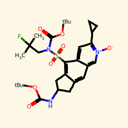 CC(C)(F)CN(C(=O)OC(C)(C)C)S(=O)(=O)c1c2c(cc3c[n+]([O-])c(C4CC4)cc13)CC(NC(=O)OC(C)(C)C)C2